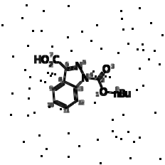 CCCCOC(=O)n1nc(C(=O)O)c2ccccc21